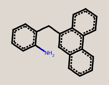 Nc1ccccc1Cc1cc2ccccc2c2ccccc12